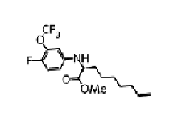 C=CCCCCC[C@H](Nc1ccc(F)c(OC(F)(F)F)c1)C(=O)OC